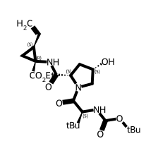 C=C[C@@H]1C[C@]1(NC(=O)[C@@H]1C[C@H](O)CN1C(=O)[C@@H](NC(=O)OC(C)(C)C)C(C)(C)C)C(=O)OCC